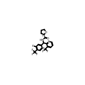 O=C(NC(c1ccc(C(F)(F)F)c(F)c1)c1ncccc1C(F)(F)F)[C@H]1CCCO1